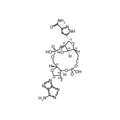 NC(=O)c1cc([C@@H]2O[C@@H]3CCOP(=O)(O)O[C@H]4[C@@H](F)[C@H](n5cnc6c(N)ncnc65)O[C@@H]4COP(=O)(O)O[C@@H]2[C@@H]3O)[nH]n1